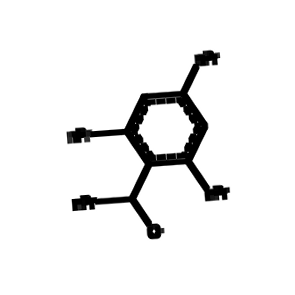 CCCc1cc(CCC)c(C([O])CCC)c(CCC)c1